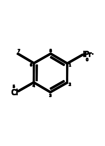 C[C](C)c1ccc(Cl)c(C)c1